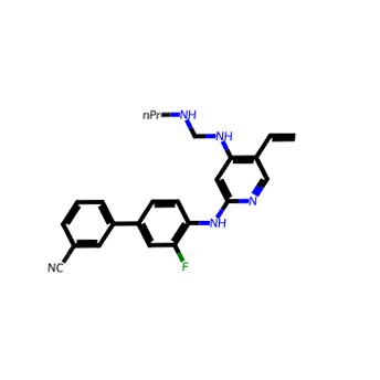 C=Cc1cnc(Nc2ccc(-c3cccc(C#N)c3)cc2F)cc1NCNCCC